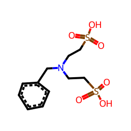 O=S(=O)(O)CCN(CCS(=O)(=O)O)Cc1ccccc1